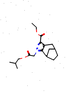 CCOC(=O)c1nn(CC(=O)OCC(C)C)c2c1CC1CCC2C1